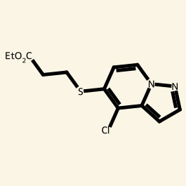 CCOC(=O)CCSc1ccn2nccc2c1Cl